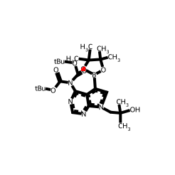 CC(C)(O)Cn1cc(B2OC(C)(C)C(C)(C)O2)c2c(N(C(=O)OC(C)(C)C)C(=O)OC(C)(C)C)ncnc21